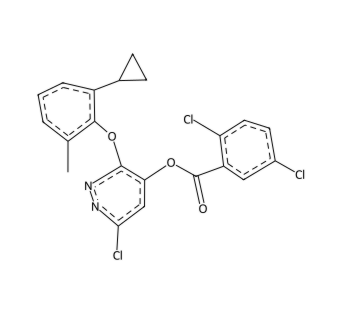 Cc1cccc(C2CC2)c1Oc1nnc(Cl)cc1OC(=O)c1cc(Cl)ccc1Cl